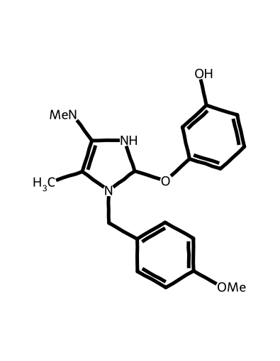 CNC1=C(C)N(Cc2ccc(OC)cc2)C(Oc2cccc(O)c2)N1